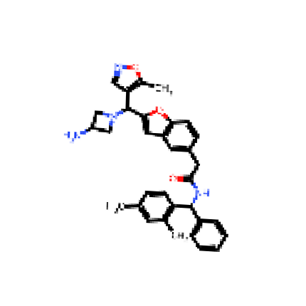 Cc1ccc([C@@H](NC(=O)Cc2ccc3oc(C(c4cnoc4C)N4CC(N)C4)cc3c2)c2ccccc2)c(C)c1